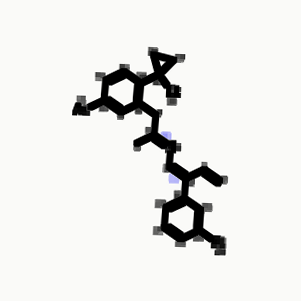 C=C/C(=C\N=C(/C)Cc1cc(C(C)=O)ccc1C1(CC)CC1)c1cccc(CC)c1